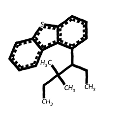 CCC(c1cccc2sc3ccccc3c12)C(C)(C)CC